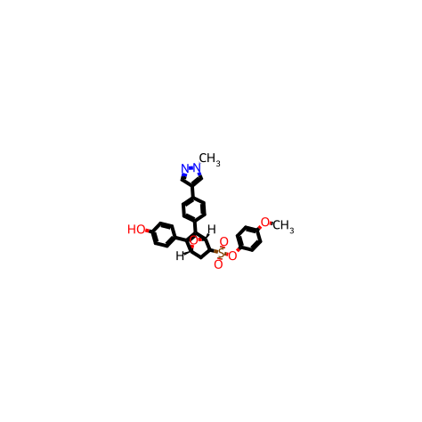 COc1ccc(OS(=O)(=O)C2C[C@H]3O[C@@H]2C(c2ccc(-c4cnn(C)c4)cc2)=C3c2ccc(O)cc2)cc1